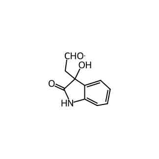 O=[C]CC1(O)C(=O)Nc2ccccc21